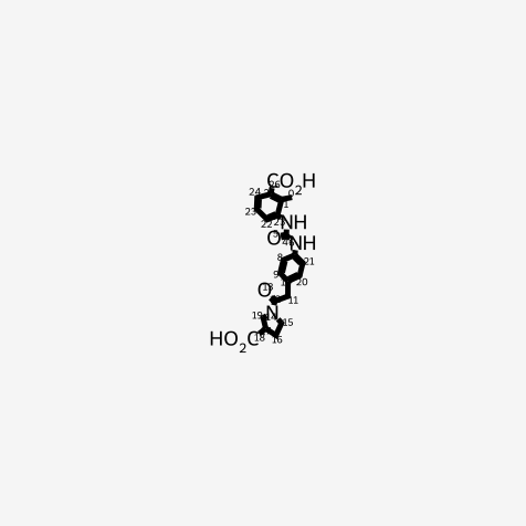 Cc1c(NC(=O)Nc2ccc(CC(=O)N3CCC(C(=O)O)C3)cc2)cccc1C(=O)O